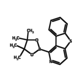 CC1(C)OB(c2nccc3sc4ccccc4c23)OC1(C)C